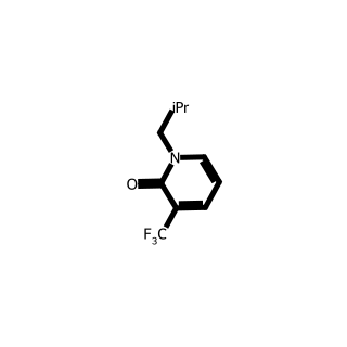 CC(C)Cn1cccc(C(F)(F)F)c1=O